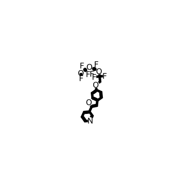 FOC(F)(F)OC(F)(F)OC(F)(F)COc1ccc2cc(-c3cccnc3)oc2c1